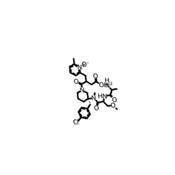 COCC(NC(=O)C(C)N)C(=O)N(C)[C@@]1(Cc2ccc(Cl)cc2)CCCN(C(=O)C(CC(=O)O)Cc2cccc(C)[n+]2[O-])C1